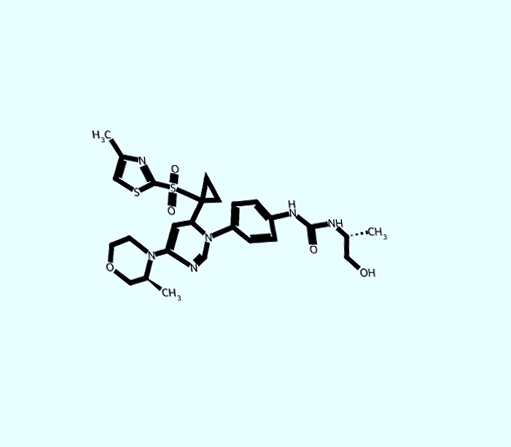 Cc1csc(S(=O)(=O)C2(C3C=C(N4CCOC[C@@H]4C)N=CN3c3ccc(NC(=O)N[C@H](C)CO)cc3)CC2)n1